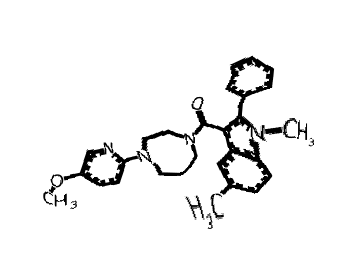 COc1ccc(N2CCCN(C(=O)c3c(-c4ccccc4)n(C)c4ccc(C)cc34)CC2)nc1